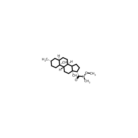 CON(C)C(=O)[C@H]1CCC2[C@@H]3CC[C@@H]4C[C@@H](C)CC[C@]4(C)[C@H]3CC[C@@]21C